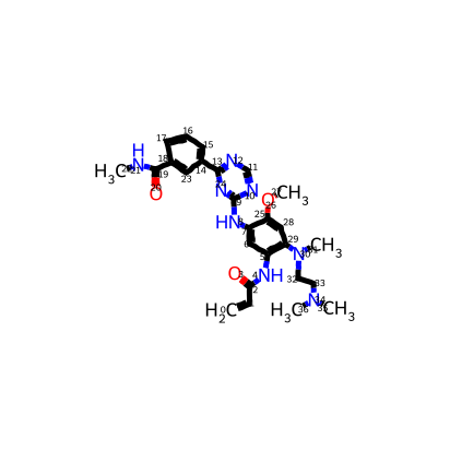 C=CC(=O)Nc1cc(Nc2ncnc(-c3cccc(C(=O)NC)c3)n2)c(OC)cc1N(C)CCN(C)C